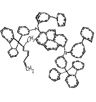 C=C/C=C\C=C(/C)C1(c2cccc(N(c3cccc(-c4ccccc4)c3)c3ccc4ccc5c(N(c6cccc(-c7ccccc7)c6)c6cccc(C7(c8ccccc8)c8ccccc8-c8ccccc87)c6)ccc6ccc3c4c65)c2)c2ccccc2-c2ccccc21